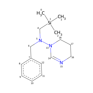 C[Si](C)(C)CN(Cc1ccccc1)N1C=NCCC1